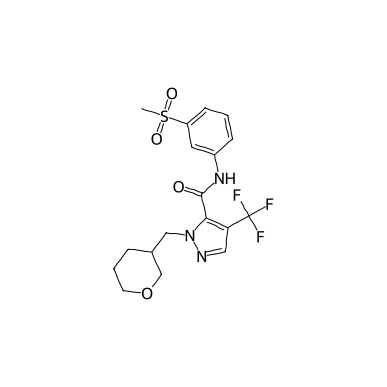 CS(=O)(=O)c1cccc(NC(=O)c2c(C(F)(F)F)cnn2CC2CCCOC2)c1